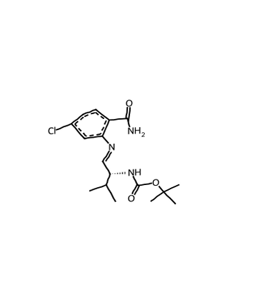 CC(C)[C@H](/C=N/c1cc(Cl)ccc1C(N)=O)NC(=O)OC(C)(C)C